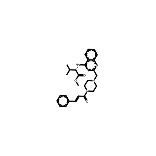 COC(=O)[C@@H](Nc1nc(CN2CCN(C(=O)/C=C/c3ccccc3)CC2)nc2ccccc12)C(C)C